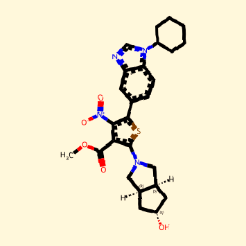 COC(=O)c1c(N2C[C@H]3C[C@H](O)C[C@H]3C2)sc(-c2ccc3c(c2)ncn3C2CCCCC2)c1[N+](=O)[O-]